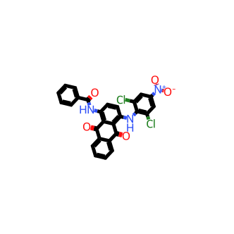 O=C(Nc1ccc(Nc2c(Cl)cc([N+](=O)[O-])cc2Cl)c2c1C(=O)c1ccccc1C2=O)c1ccccc1